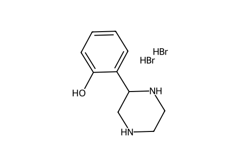 Br.Br.Oc1ccccc1C1CNCCN1